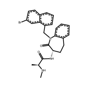 CN[C@@H](C)C(=O)N[C@H]1CCc2ccccc2N(Cc2cccc3ccc(Br)cc23)C1=O